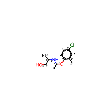 CCC(CO)NC(C)Oc1ccc(Cl)cc1C